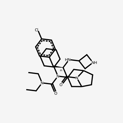 CCN(CC)C(=O)N(C1CCCCC1)C1CC2CCC(C1)N2C(=O)[C@@H](Cc1ccc(Cl)cc1)NC1CNC1